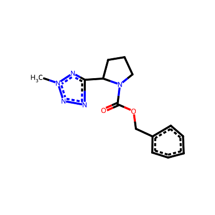 Cn1nnc(C2CCCN2C(=O)OCc2ccccc2)n1